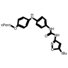 CCCCCOc1ccc(Nc2ccc(NC(=O)Nc3cc(C(C)(C)C)on3)cc2)cc1